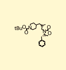 C[C@H](CC1CCN(C(=O)OC(C)(C)C)CC1)CN1C(=O)OC[C@@H]1Cc1ccccc1